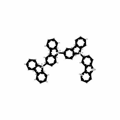 c1cnc2c(c1)oc1ccc(-n3c4ccccc4c4cc(-n5c6ccccc6c6cc(-n7c8ccccc8c8ccccc87)ccc65)ccc43)cc12